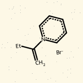 C=C(CC)[n+]1ccccc1.[Br-]